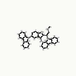 C=N/C=C(\c1oc2ccc(-n3c4ccccc4c4ccccc43)cc2c1C)n1c2ccccc2c2ccccc21